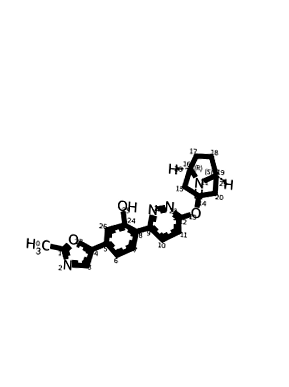 Cc1ncc(-c2ccc(-c3ccc(OC4C[C@H]5CC[C@@H](C4)N5)nn3)c(O)c2)o1